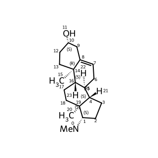 CN[C@H]1CC[C@H]2[C@@H]3CC=C4C[C@@H](O)CC[C@]4(C)[C@H]3CC[C@]12C